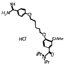 COc1cc(C(=O)N(C(C)C)C(C)C)ccc1OCCCCCOc1ccc(C(=N)N)cc1.Cl